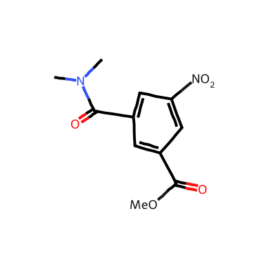 COC(=O)c1cc(C(=O)N(C)C)cc([N+](=O)[O-])c1